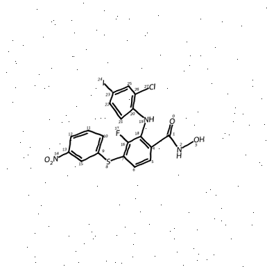 O=C(NO)c1ccc(Sc2cccc([N+](=O)[O-])c2)c(F)c1Nc1ccc(I)cc1Cl